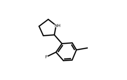 Cc1ccc(F)c(C2CCCN2)c1